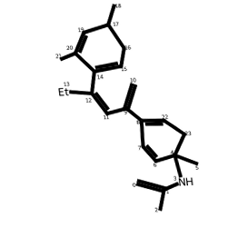 C=C(C)NC1(C)C=CC(C(=C)/C=C(/CC)C2=CCC(C)C=C2C)=CC1